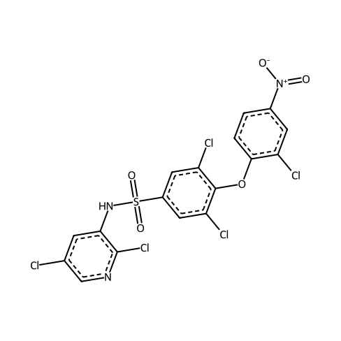 O=[N+]([O-])c1ccc(Oc2c(Cl)cc(S(=O)(=O)Nc3cc(Cl)cnc3Cl)cc2Cl)c(Cl)c1